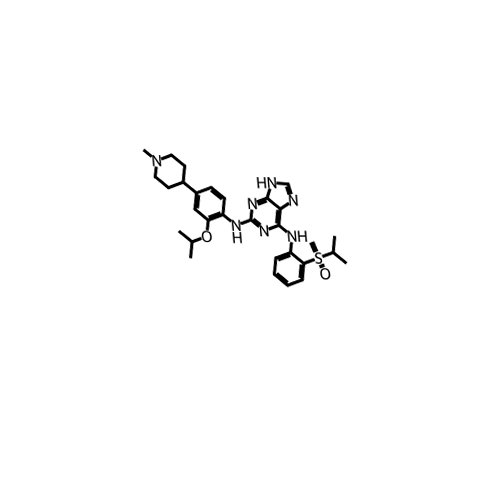 C=S(=O)(c1ccccc1Nc1nc(Nc2ccc(C3CCN(C)CC3)cc2OC(C)C)nc2[nH]cnc12)C(C)C